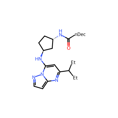 CCCCCCCCCCC(=O)N[C@H]1CC[C@H](Nc2cc(C(CC)CC)nc3ccnn23)C1